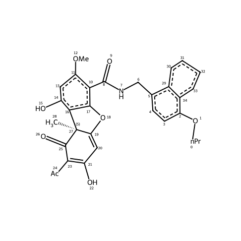 CCCOc1ccc(CNC(=O)c2c(OC)cc(O)c3c2OC2=CC(O)=C(C(C)=O)C(=O)[C@]23C)c2ccccc12